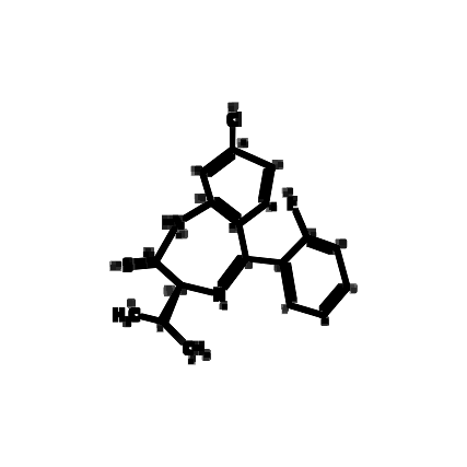 CC(C)[C@@H]1N=C(c2ccccc2F)c2ccc(Cl)cc2NC1=S